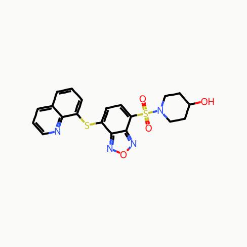 O=S(=O)(c1ccc(Sc2cccc3cccnc23)c2nonc12)N1CCC(O)CC1